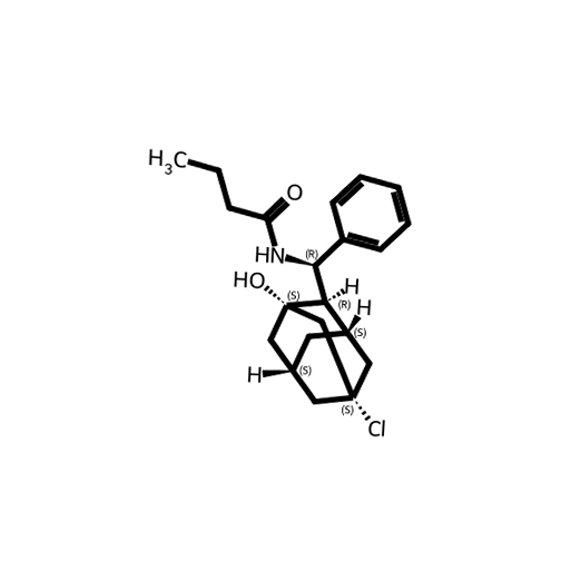 CCCC(=O)N[C@@H](c1ccccc1)[C@H]1[C@H]2C[C@@H]3C[C@](Cl)(C2)C[C@@]1(O)C3